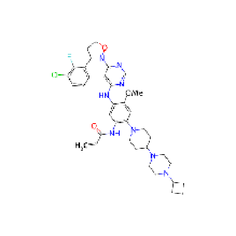 C=CC(=O)Nc1cc(Nc2cc(N3OCCC3c3cccc(Cl)c3F)ncn2)c(OC)cc1N1CCC(N2CCN(C3CCC3)CC2)CC1